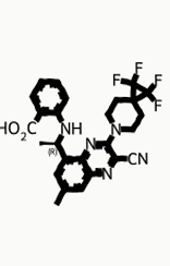 Cc1cc([C@@H](C)Nc2ccccc2C(=O)O)c2nc(N3CCC4(CC3)C(F)(F)C4(F)F)c(C#N)nc2c1